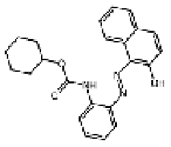 O=C(Nc1ccccc1/N=N/c1c(O)ccc2ccccc12)OC1CCCCC1